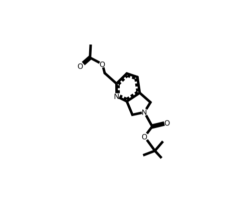 CC(=O)OCc1ccc2c(n1)CN(C(=O)OC(C)(C)C)C2